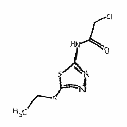 CCSc1nnc(NC(=O)CCl)s1